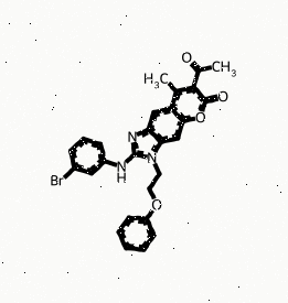 CC(=O)c1c(C)c2cc3nc(Nc4cccc(Br)c4)n(CCOc4ccccc4)c3cc2oc1=O